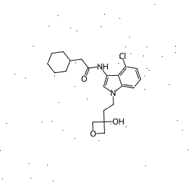 O=C(CC1CCCCC1)Nc1cn(CCC2(O)COC2)c2cccc(Cl)c12